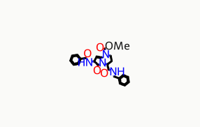 COC(=O)N1CCC(C(=O)NCc2ccccc2)N2C(=O)C(NC(=O)c3ccccc3)C=C12